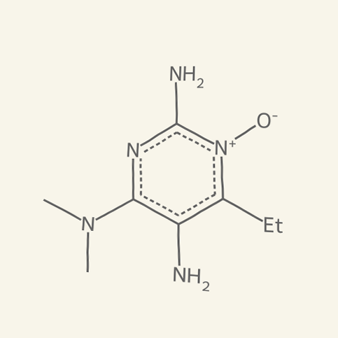 CCc1c(N)c(N(C)C)nc(N)[n+]1[O-]